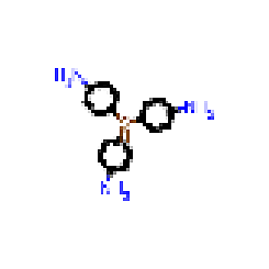 Nc1ccc([SH](c2ccc(N)cc2)c2ccc(N)cc2)cc1